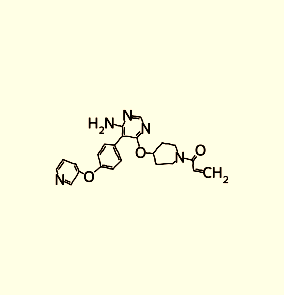 C=CC(=O)N1CCC(Oc2ncnc(N)c2-c2ccc(Oc3cccnc3)cc2)CC1